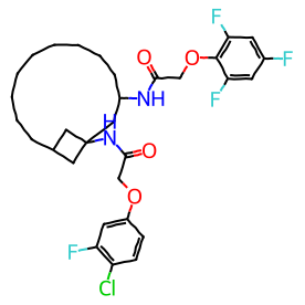 O=C(COc1c(F)cc(F)cc1F)NC1CCCCCCCCCC2CC(NC(=O)COc3ccc(Cl)c(F)c3)(C2)C1